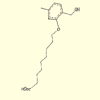 CCCCCCCCCCCCCCCCCCOc1cc(C)ccc1CO